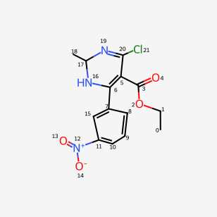 CCOC(=O)C1=C(c2cccc([N+](=O)[O-])c2)NC(C)N=C1Cl